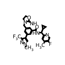 Cc1cc(C(NC(=O)c2cc(CN3CCOC3=N)cc(-c3cn(C)nc3C(F)(F)F)c2)C2CC2)ncc1F